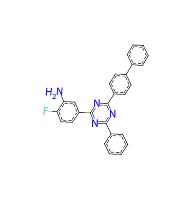 Nc1cc(-c2nc(-c3ccccc3)nc(-c3ccc(-c4ccccc4)cc3)n2)ccc1F